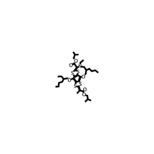 CCCCC(CC)COc1c2c(c3c4c1S/C(=C(\C(=O)OCC(C)C)N(CC)CC(CCCC)CO3)S4)S/C(=C(/C)C(=O)OCC(C)C)S2